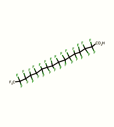 O=C(O)C(F)(F)C(F)(F)C(F)(F)C(F)(F)C(F)(F)C(F)(F)C(F)(F)C(F)(F)C(F)(F)C(F)(F)C(F)(F)C(F)(F)C(F)(F)C(F)(F)C(F)(F)F